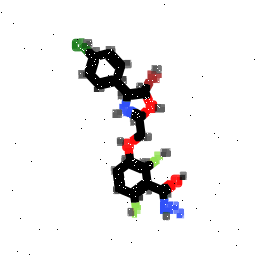 NC(=O)c1c(F)ccc(OCc2nc(-c3ccc(Cl)cc3)c(Br)o2)c1F